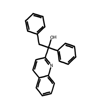 OC(Cc1ccccc1)(c1ccccc1)c1ccc2ccccc2n1